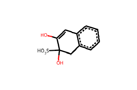 O=S(=O)(O)C1(O)[CH]c2ccccc2C=C1O